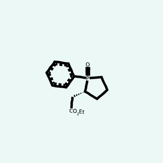 CCOC(=O)C[C@H]1CCCP1(=O)c1ccccc1